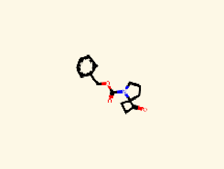 O=C(OCc1ccccc1)N1CCCC12CCC2=O